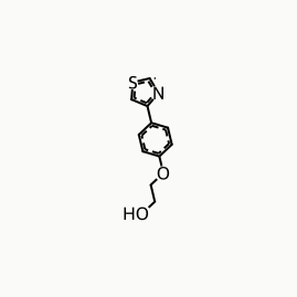 OCCOc1ccc(-c2cs[c]n2)cc1